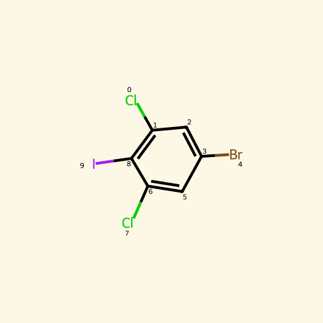 Clc1cc(Br)cc(Cl)c1I